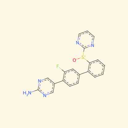 Nc1ncc(-c2ccc(-c3ccccc3[S+]([O-])c3ncccn3)cc2F)cn1